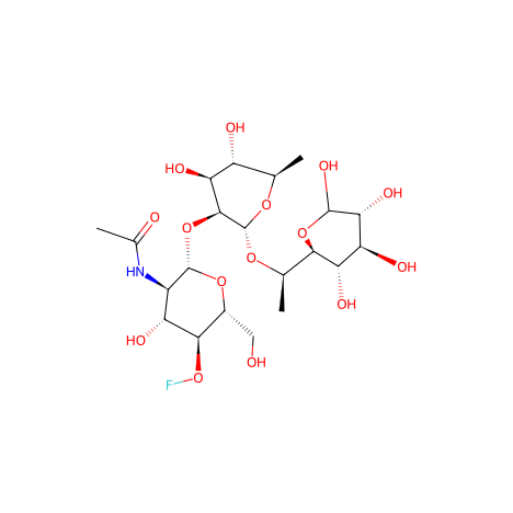 CC(=O)N[C@H]1[C@H](O[C@@H]2[C@@H](O[C@H](C)[C@H]3OC(O)[C@H](O)[C@@H](O)[C@@H]3O)O[C@H](C)[C@@H](O)[C@@H]2O)O[C@H](CO)[C@@H](OF)[C@@H]1O